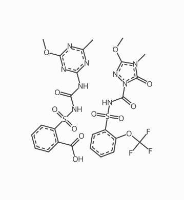 COc1nc(C)nc(NC(=O)NS(=O)(=O)c2ccccc2C(=O)O)n1.COc1nn(C(=O)NS(=O)(=O)c2ccccc2OC(F)(F)F)c(=O)n1C